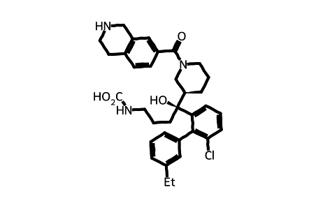 CCc1cccc(-c2c(Cl)cccc2[C@](O)(CCCNC(=O)O)[C@@H]2CCCN(C(=O)c3ccc4c(c3)CNCC4)C2)c1